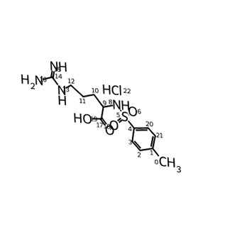 Cc1ccc(S(=O)(=O)NC(CCCNC(=N)N)C(=O)O)cc1.Cl